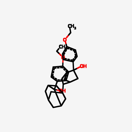 CCOc1ccc(C2(O)CC3CC2CC3C23CC4CC(C2)C(O)(c2ccc(OCC)cc2)C(C4)C3)cc1